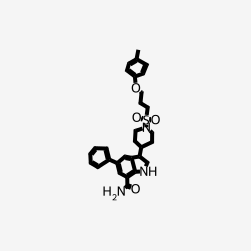 Cc1ccc(OCCCS(=O)(=O)N2CCC(C3CNc4c(C(N)=O)cc(-c5ccccc5)cc43)CC2)cc1